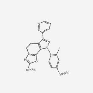 CC(=O)Nc1ccc(-n2nc(-c3cccnc3)c3c2-c2sc(NC(C)=O)nc2CC3)c(F)c1